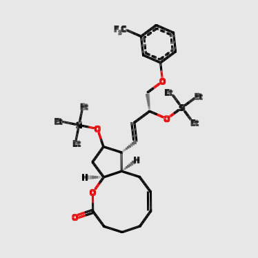 CC[Si](CC)(CC)OC1C[C@@H]2OC(=O)CCCC=CC[C@@H]2[C@H]1/C=C/[C@H](COc1cccc(C(F)(F)F)c1)O[Si](CC)(CC)CC